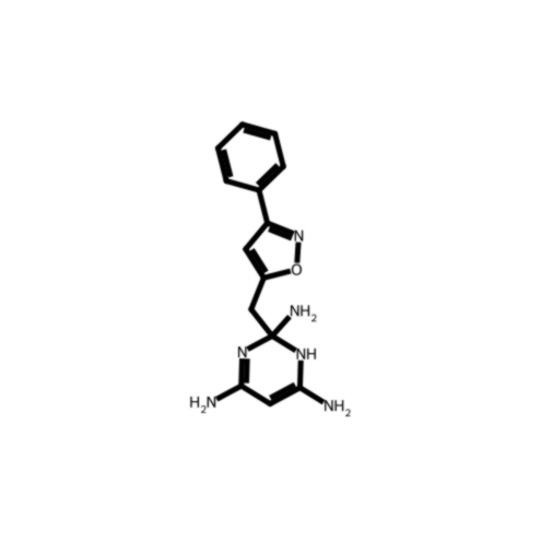 NC1=CC(N)=NC(N)(Cc2cc(-c3ccccc3)no2)N1